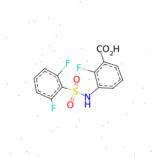 O=C(O)c1cccc(NS(=O)(=O)c2c(F)cccc2F)c1F